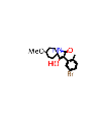 CO[C@H]1CC[C@@]2(CC1)NC(=O)C(c1cc(Br)ccc1C)=C2O